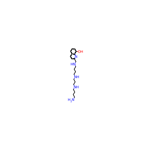 NCCCCNCCCNCCCCNCc1ccc2cccc(O)c2n1